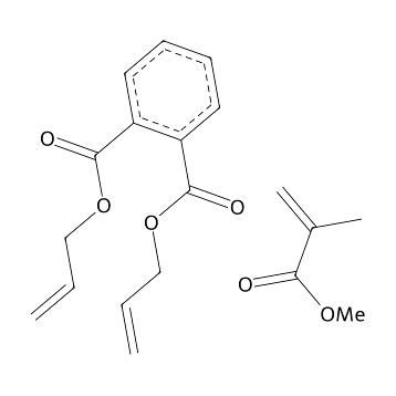 C=C(C)C(=O)OC.C=CCOC(=O)c1ccccc1C(=O)OCC=C